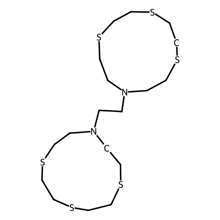 C1CSCCN(CCN2CCSCCSCCSCC2)CCSCCS1